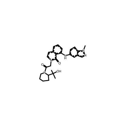 Cn1ncc2cc(Nc3cccc4ccn(CC(=O)N5CCCCC5C(C)(C)O)c(=O)c34)ccc21